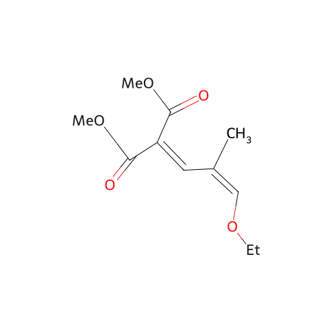 CCOC=C(C)C=C(C(=O)OC)C(=O)OC